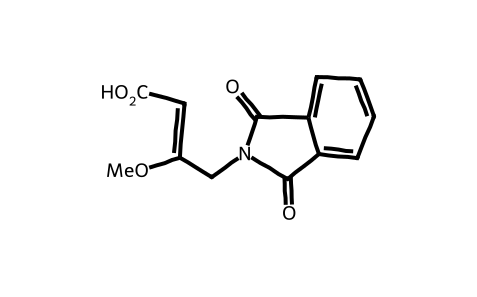 COC(=CC(=O)O)CN1C(=O)c2ccccc2C1=O